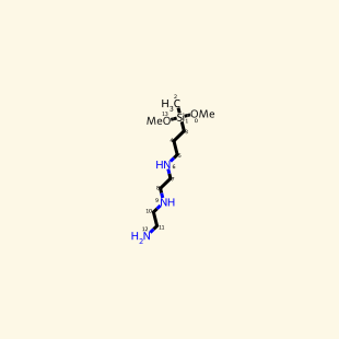 CO[Si](C)(CCCNCCNCCN)OC